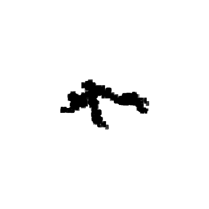 COc1ccc(C(NCCCC[C@H](NC(=O)[C@H](Cc2ccc(F)cc2)NC(=O)CCC(=O)NCCCO[C@H]2CC[C@@]3(C)C(=CC[C@H]4[C@@H]5CC[C@H]([C@H](C)CCCC(C)C)[C@@]5(C)CC[C@@H]43)C2)C(=O)Nc2ccc(COC(=O)Oc3ccc(C)cc3)cc2)(c2ccccc2)c2ccccc2)cc1